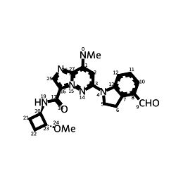 CNc1cc(N2CCc3c(C=O)cccc32)nn2c(C(=O)N[C@@H]3CC[C@H]3OC)cnc12